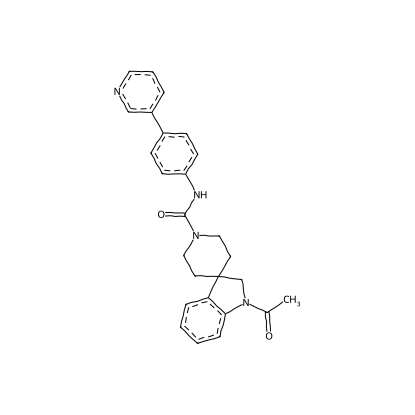 CC(=O)N1CC2(CCN(C(=O)Nc3ccc(-c4cccnc4)cc3)CC2)c2ccccc21